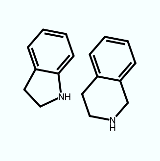 c1ccc2c(c1)CCN2.c1ccc2c(c1)CCNC2